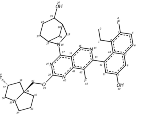 CCc1c(F)ccc2cc(O)cc(-c3ncc4c(N5CC6CC5CCC6O)nc(OC[C@@]56CCCN5C[C@H](F)C6)nc4c3F)c12